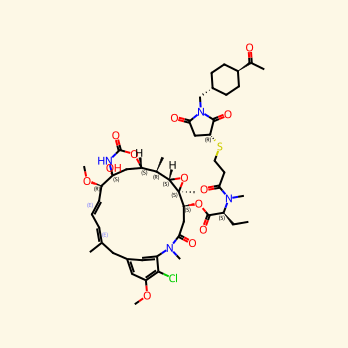 CC[C@@H](C(=O)O[C@H]1CC(=O)N(C)c2cc(cc(OC)c2Cl)C/C(C)=C/C=C/[C@@H](OC)[C@@]2(O)C[C@H](OC(=O)N2)[C@@H](C)[C@@H]2O[C@@]12C)N(C)C(=O)CCS[C@@H]1CC(=O)N(C[C@H]2CC[C@H](C(C)=O)CC2)C1=O